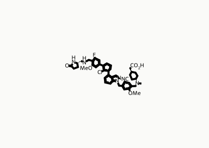 COc1cc(Cn2ncc3c(-c4cccc(-c5cc(F)c(CNC[C@@H]6CCC(=O)N6)c(OC)c5)c4Cl)cccc32)c(C#N)cc1CN(C)[C@H]1CC[C@H](CC(=O)O)CC1